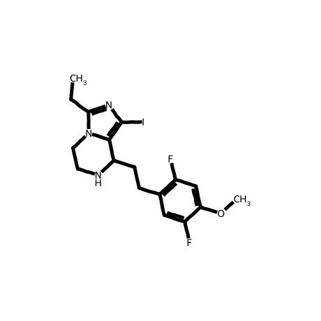 CCc1nc(I)c2n1CCNC2CCc1cc(F)c(OC)cc1F